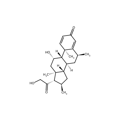 C[C@@H]1C[C@H]2[C@@H]3C[C@H](C)C4=CC(=O)C=C[C@]4(C)[C@H]3[C@@H](O)C[C@]2(C)[C@H]1C(=O)CO